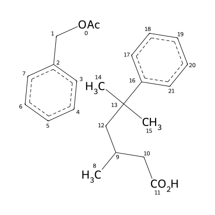 CC(=O)OCc1ccccc1.CC(CC(=O)O)CC(C)(C)c1ccccc1